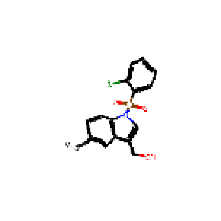 COc1ccc2c(c1)c(CO)cn2S(=O)(=O)c1ccccc1Br